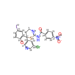 O=C(NC1=NCCC2(S1)c1cc(I)ccc1Oc1ncc(Br)cc12)c1ccc([N+](=O)[O-])cc1